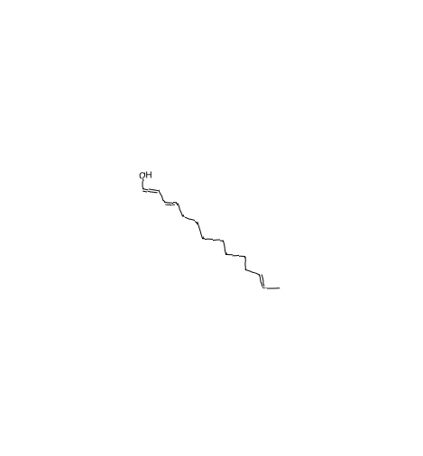 CC=CCCCCCCCC=CC=CO